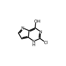 Oc1nc(Cl)[nH]c2ccnc1-2